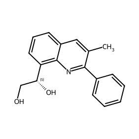 Cc1cc2cccc([C@H](O)CO)c2nc1-c1ccccc1